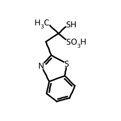 CC(S)(Cc1nc2ccccc2s1)S(=O)(=O)O